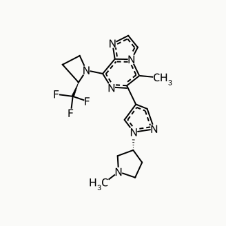 Cc1c(-c2cnn([C@@H]3CCN(C)C3)c2)nc(N2CC[C@@H]2C(F)(F)F)c2nccn12